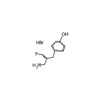 Br.NCC(=CF)Cc1ccc(O)cc1